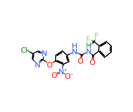 O=C(NC(=O)c1ccccc1C(F)(F)F)Nc1ccc(Oc2ncc(Cl)cn2)c([N+](=O)[O-])c1